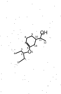 CCC(CC)OC1=CCCC(C(C)O)C1